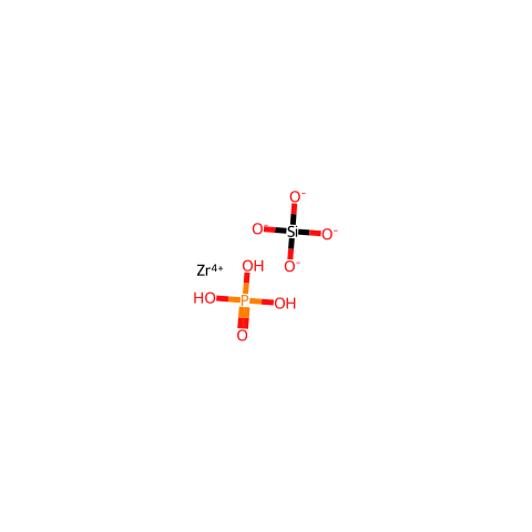 O=P(O)(O)O.[O-][Si]([O-])([O-])[O-].[Zr+4]